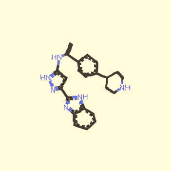 C=C(Nc1cc(-c2nc3ccccc3[nH]2)n[nH]1)c1ccc(C2CCNCC2)cc1